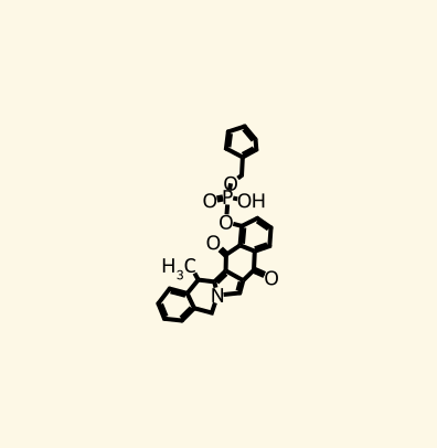 CC1c2ccccc2Cn2cc3c(c21)C(=O)c1c(OP(=O)(O)OCc2ccccc2)cccc1C3=O